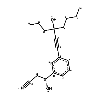 CCCCC(O)(C#Cc1cccc([C@H](O)CC#N)n1)CCC